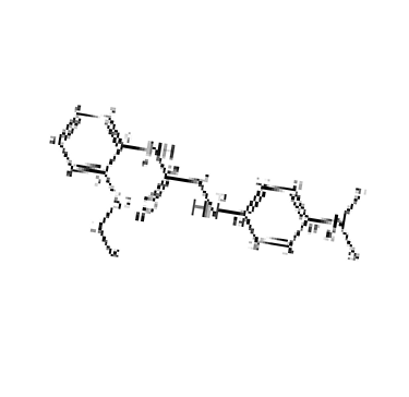 CCSc1ccccc1NC(=O)CNc1ccc(N(C)C)cc1